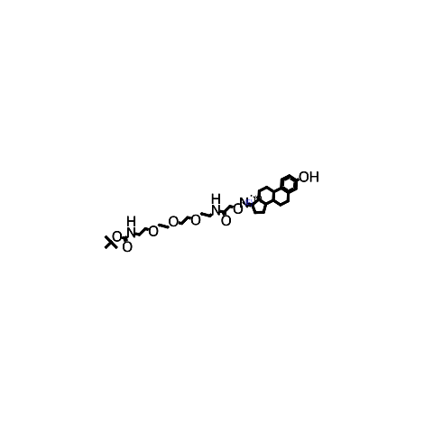 CC(C)(C)OC(=O)NCCOCCOCCOCCNC(=O)CO/N=C1\CCC2C3CCc4cc(O)ccc4C3CC[C@]12C